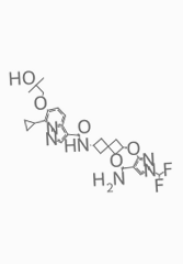 CC(C)(O)COc1ccc2c(C(=O)N[C@H]3CC4(C3)C[C@H](Oc3nn(C(F)F)cc3C(N)=O)C4)cnn2c1C1CC1